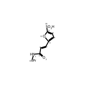 CCCNC(=O)C=Cc1ccc(S(=O)(=O)O)o1